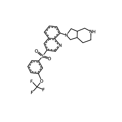 O=S(=O)(c1cccc(OC(F)(F)F)c1)c1cnc2c(N3CC4CCNCC4C3)cccc2c1